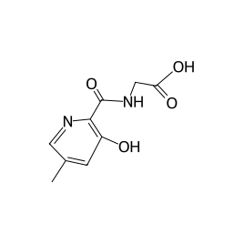 Cc1cnc(C(=O)NCC(=O)O)c(O)c1